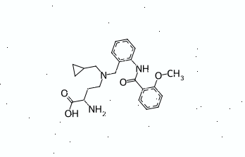 COc1ccccc1C(=O)Nc1ccccc1CN(CCC(N)C(=O)O)CC1CC1